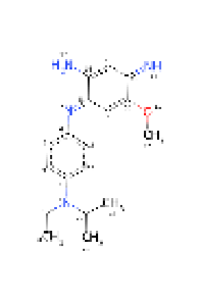 CCN(c1ccc(N=C2C=C(OC)C(=N)C=C2N)cc1)C(C)C